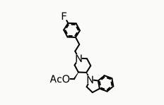 CC(=O)OC[C@H]1CN(CCc2ccc(F)cc2)CC[C@H]1N1CCc2ccccc21